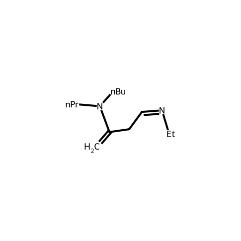 C=C(C/C=N\CC)N(CCC)CCCC